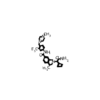 C[C@H]1CN(C(C(N)=O)C2CCC2)Cc2cc(C(=O)Nc3ccc(CN4CCN(C)CC4)c(C(F)(F)F)c3)ccc21